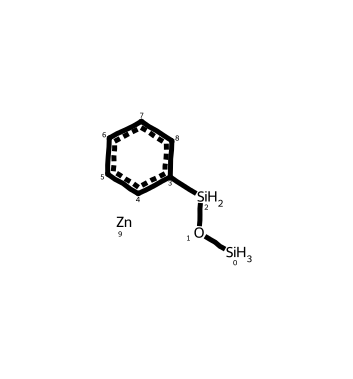 [SiH3]O[SiH2]c1ccccc1.[Zn]